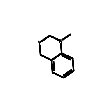 CN1[CH2][Y][CH2]c2ccccc21